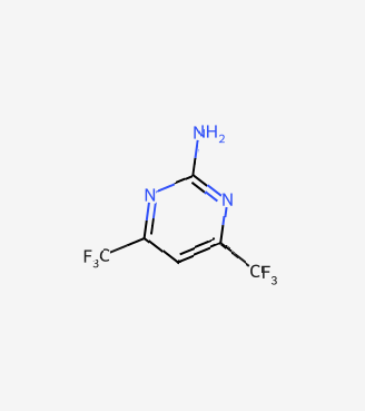 Nc1nc(C(F)(F)F)cc(C(F)(F)F)n1